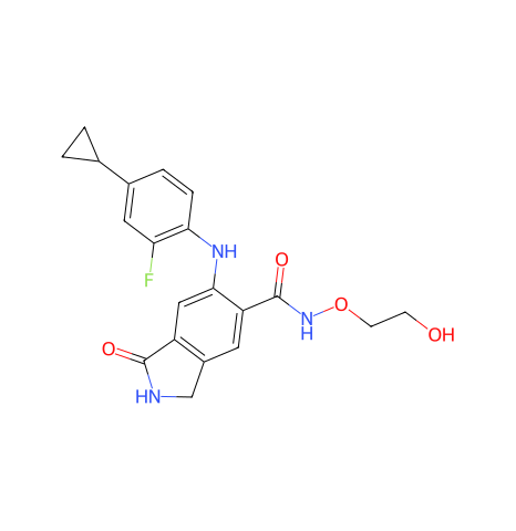 O=C1NCc2cc(C(=O)NOCCO)c(Nc3ccc(C4CC4)cc3F)cc21